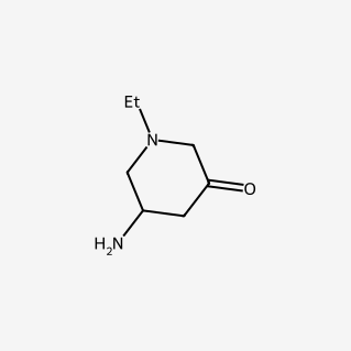 CCN1CC(=O)CC(N)C1